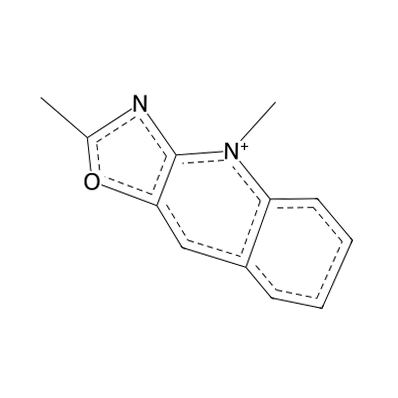 Cc1nc2c(cc3ccccc3[n+]2C)o1